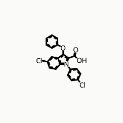 O=C(O)c1c(Oc2ccccc2)c2cc(Cl)ccc2n1-c1ccc(Cl)cc1